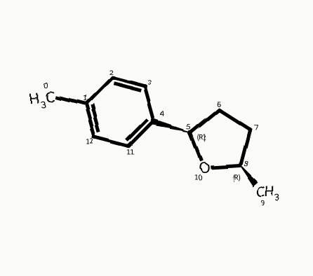 Cc1ccc([C@H]2CC[C@@H](C)O2)cc1